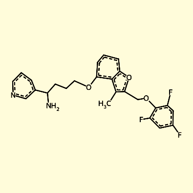 Cc1c(COc2c(F)cc(F)cc2F)oc2cccc(OCCCC(N)c3cccnc3)c12